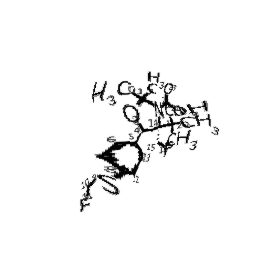 CC1(C)O[C@H](c2ccc(SCF)cc2)[C@](CF)(C(C)(C)C)N1C(=O)O